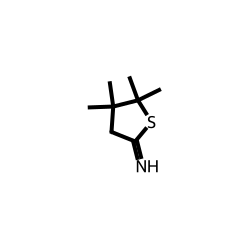 CC1(C)CC(=N)SC1(C)C